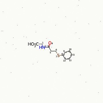 O=C(O)CNC(=O)CCSc1ccccc1